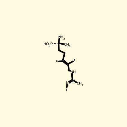 CC(=NI)NCC(F)=C(F)CC[C@](C)(N)C(=O)O